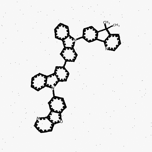 CC1(C)c2ccc(-n3c4ccccc4c4cc(-c5ccc6c(c5)c5ccccc5n6-c5ccc6oc7cccnc7c6c5)ccc43)cc2-c2ncccc21